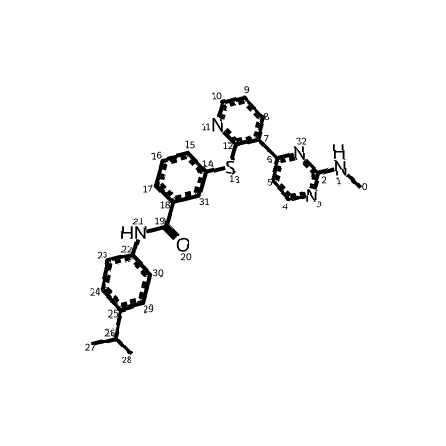 CNc1nccc(-c2cccnc2Sc2cccc(C(=O)Nc3ccc(C(C)C)cc3)c2)n1